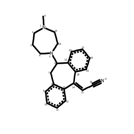 CN1CCCN(C2Cc3ccccc3/C(=C/C#N)c3ccccc32)CC1